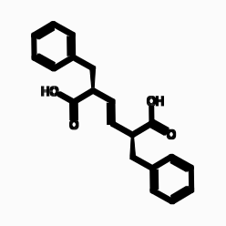 O=C(O)[C@H](C=C[C@H](Cc1ccccc1)C(=O)O)Cc1ccccc1